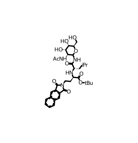 CC(=O)N[C@H]1C(NC(=O)[C@H](CC(C)C)N[C@H](CCN2C(=O)c3cc4ccccc4cc3C2=O)C(=O)OC(C)(C)C)O[C@H](CO)[C@@H](O)[C@H]1O